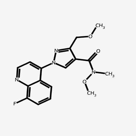 COCc1nn(-c2ccnc3c(F)cccc23)cc1C(=O)N(C)OC